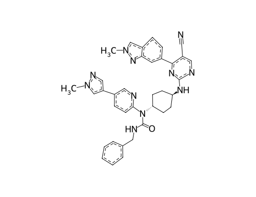 Cn1cc(-c2ccc(N(C(=O)NCc3ccccc3)[C@H]3CC[C@H](Nc4ncc(C#N)c(-c5ccc6cn(C)nc6c5)n4)CC3)nc2)cn1